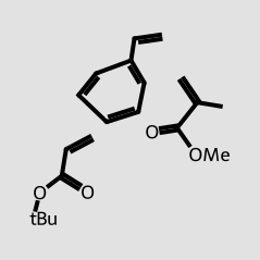 C=C(C)C(=O)OC.C=CC(=O)OC(C)(C)C.C=Cc1ccccc1